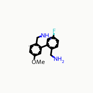 COc1c[c]c(CN)c(-c2cc(F)ccc2CN)c1